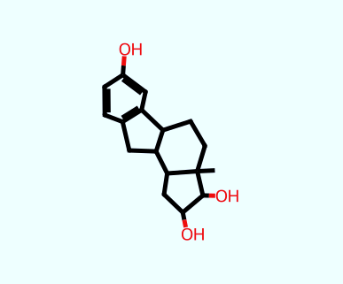 CC12CCC3c4cc(O)ccc4CC3C1CC(O)C2O